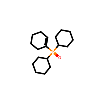 O=P(C1=CCCCC1)(C1CCCCC1)C1CCCCC1